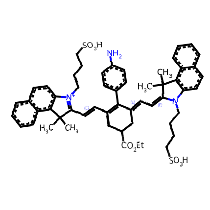 CCOC(=O)C1CC(/C=C/C2=[N+](CCCCS(=O)(=O)O)c3ccc4ccccc4c3C2(C)C)=C(c2ccc(N)cc2)C(=C/C=C2/N(CCCCS(=O)(=O)O)c3ccc4ccccc4c3C2(C)C)/C1